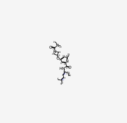 C=N/C(=C\C=C(/C)F)NC(=O)c1cc(OC2CN(C(=O)N(C)C)C2)cc(C)n1